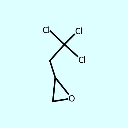 ClC(Cl)(Cl)CC1CO1